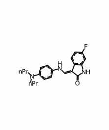 CCCN(CCC)c1ccc(N/C=C2/C(=O)Nc3cc(F)ccc32)cc1